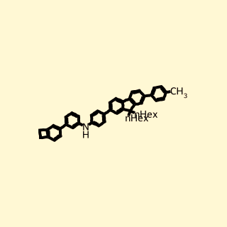 CCCCCCC1(CCCCCC)c2cc(-c3ccc(C)cc3)ccc2-c2ccc(-c3ccc(Nc4cccc(-c5ccc6c(c5)CC6)c4)cc3)cc21